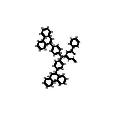 C=C/C=C(\C=C(/C)c1ccccc1)N(c1ccc(-c2cc3ccccc3c3ccccc23)cc1)c1ccc(-c2cc3ccccc3c3ccccc23)cc1